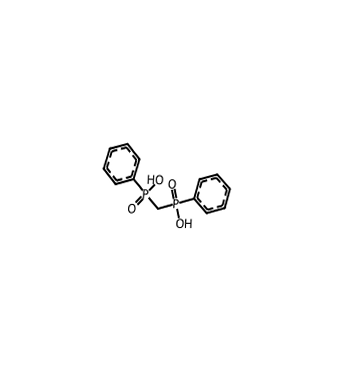 O=P(O)(CP(=O)(O)c1ccccc1)c1ccccc1